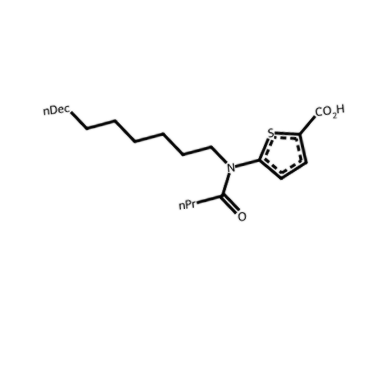 CCCCCCCCCCCCCCCCN(C(=O)CCC)c1ccc(C(=O)O)s1